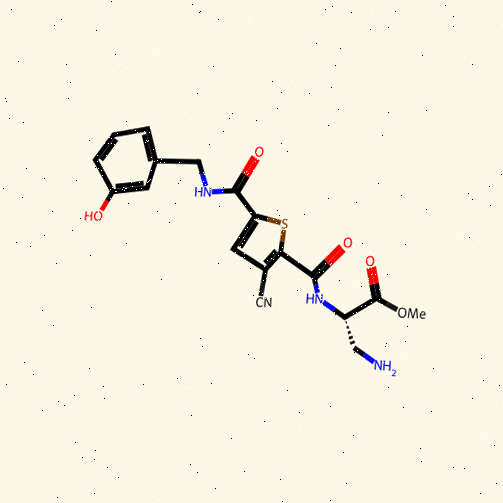 COC(=O)[C@H](CN)NC(=O)c1sc(C(=O)NCc2cccc(O)c2)cc1C#N